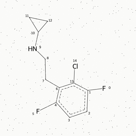 Fc1ccc(F)c(CCNC2CC2)c1Cl